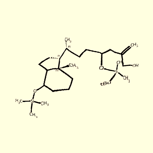 C=C(CO)CC(CC[C@@H](C)[C@H]1CCC2C(O[Si](C)(C)C)CCC[C@]21C)O[Si](C)(C)C(C)(C)C